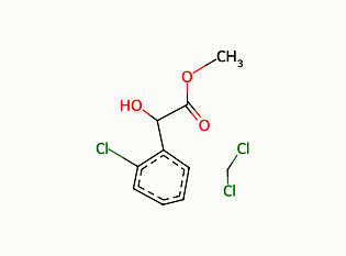 COC(=O)C(O)c1ccccc1Cl.ClCCl